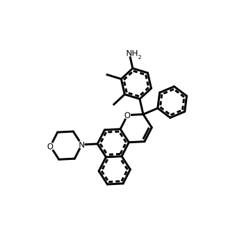 Cc1c(N)ccc(C2(c3ccccc3)C=Cc3c(cc(N4CCOCC4)c4ccccc34)O2)c1C